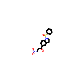 O=C(CC[N+](=O)[O-])c1ccc2c(c1)CCN2[S+]([O-])c1ccccc1